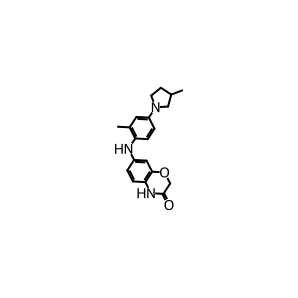 Cc1cc(N2CCC(C)C2)ccc1Nc1ccc2c(c1)OCC(=O)N2